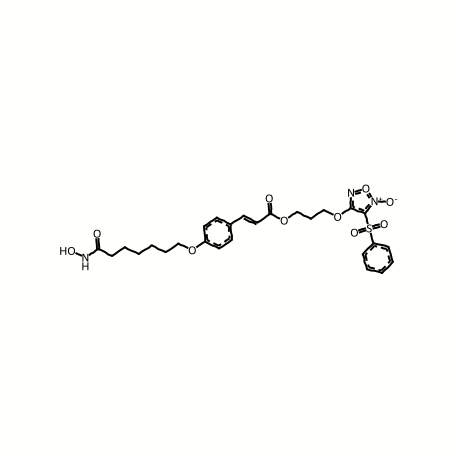 O=C(CCCCCCOc1ccc(C=CC(=O)OCCCOc2no[n+]([O-])c2S(=O)(=O)c2ccccc2)cc1)NO